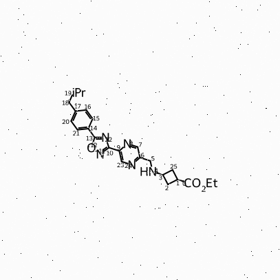 CCOC(=O)[C@H]1C[C@@H](NCc2cnc(-c3noc(-c4ccc(CC(C)C)cc4)n3)cn2)C1